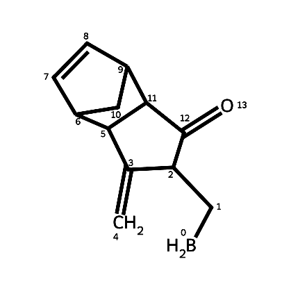 BCC1C(=C)C2C3C=CC(C3)C2C1=O